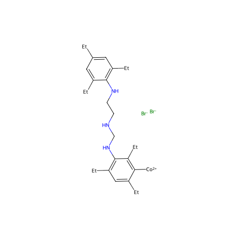 CCc1cc(CC)c(NCCNCNc2c(CC)cc(CC)[c]([Co+2])c2CC)c(CC)c1.[Br-].[Br-]